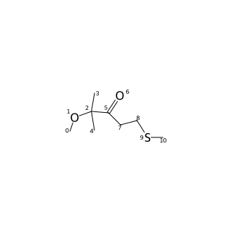 COC(C)(C)C(=O)CCSC